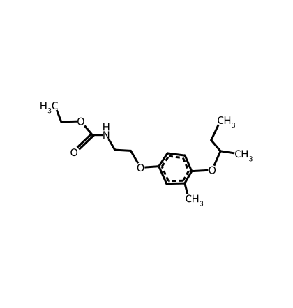 CCOC(=O)NCCOc1ccc(OC(C)CC)c(C)c1